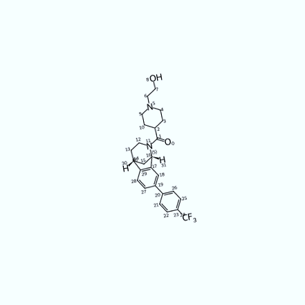 O=C(C1CCN(CCO)CC1)N1CC[C@@H]2C[C@H]1c1cc(-c3ccc(C(F)(F)F)cc3)ccc12